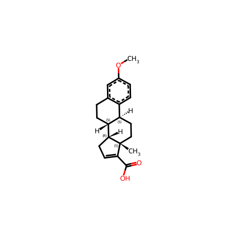 COc1ccc2c(c1)CC[C@@H]1[C@@H]2CC[C@]2(C)C(C(=O)O)=CC[C@H]12